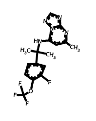 Cc1cc(NC(C)(C)c2ccc(OC(F)(F)F)c(F)c2)n2ncnc2n1